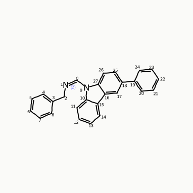 C(=N/Cc1ccccc1)/n1c2ccccc2c2cc(-c3ccccc3)ccc21